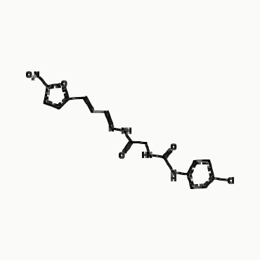 O=C(CNC(=O)Nc1ccc(Cl)cc1)NN=CC=Cc1ccc([N+](=O)[O-])o1